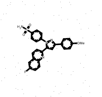 COc1ccc(-c2cc(-c3ccc4cc(F)ccc4n3)n(-c3ccc(S(N)(=O)=O)cc3)n2)cc1